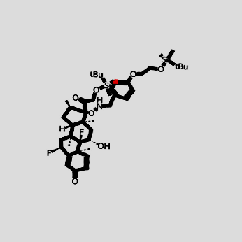 C[C@@H]1C[C@H]2[C@]3(C)C[C@H](F)C4=CC(=O)C=C[C@]4(C)[C@@]3(F)[C@@H](O)C[C@]2(C)[C@@]1(ONCc1ccc(OCCO[Si](C)(C)C(C)(C)C)cc1)C(=O)CO[Si](C)(C)C(C)(C)C